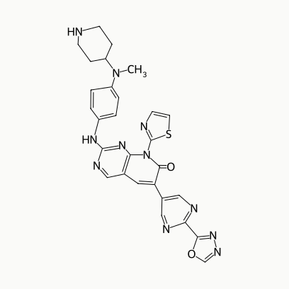 CN(c1ccc(Nc2ncc3cc(-c4cnc(-c5nnco5)nc4)c(=O)n(-c4nccs4)c3n2)cc1)C1CCNCC1